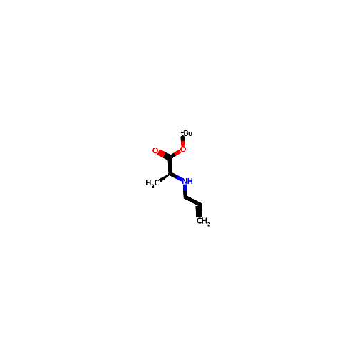 C=CCN[C@@H](C)C(=O)OC(C)(C)C